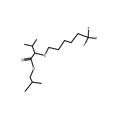 CC(C)COC(=O)C(SCCCCCC(F)(F)F)C(C)C